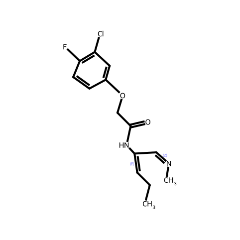 CC/C=C(\C=N/C)NC(=O)COc1ccc(F)c(Cl)c1